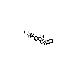 Cc1ncc(-c2ccc(-c3ccc(O[C@H]4CC5CCCC(N5)[C@H]4F)nn3)c(O)c2)o1